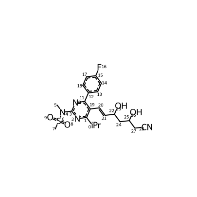 CC(C)c1nc(N(C)S(C)(=O)=O)nc(-c2ccc(F)cc2)c1C=CC(O)CC(O)CC#N